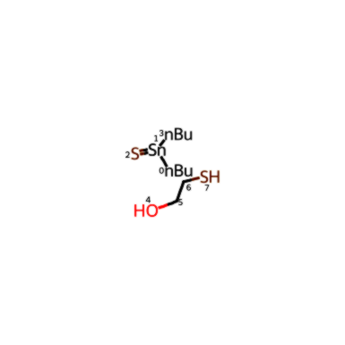 CCC[CH2][Sn](=[S])[CH2]CCC.OCCS